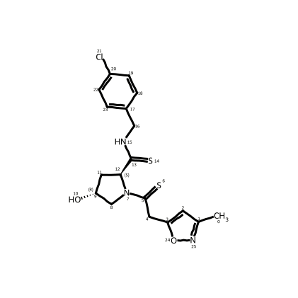 Cc1cc(CC(=S)N2C[C@H](O)C[C@H]2C(=S)NCc2ccc(Cl)cc2)on1